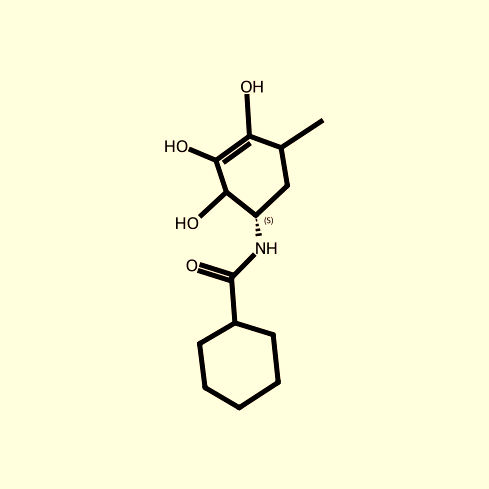 CC1C[C@H](NC(=O)C2CCCCC2)C(O)C(O)=C1O